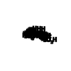 CCC1CCC(Nc2nc(Nc3cc(Nc4ccc5c6c4C(=O)c4ccccc4-c6c(C(=O)c4cccc(S(=O)(=O)O)c4)c(=O)n5C)c(S(=O)(=O)O)cc3S(=O)(=O)O)nc(Oc3ccc(S(=O)(=O)O)cc3)n2)CC1